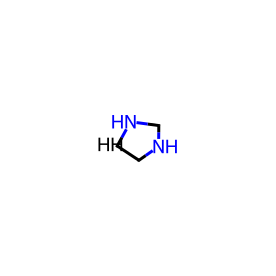 C1CNCN1.[HH]